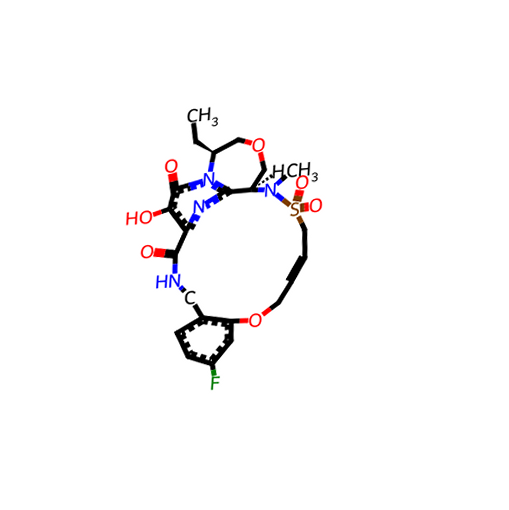 CC[C@H]1COC[C@@H]2c3nc(c(O)c(=O)n31)C(=O)NCc1ccc(F)cc1OC/C=C\CS(=O)(=O)N2C